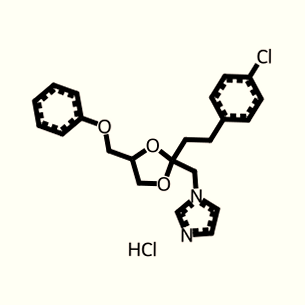 Cl.Clc1ccc(CCC2(Cn3ccnc3)OCC(COc3ccccc3)O2)cc1